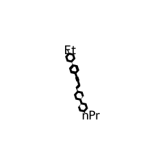 CCC[C@H]1CC[C@H]([C@H]2CC[C@H](C=CC#Cc3ccc([C@H]4CC[C@H](CC)CC4)cc3)CC2)CC1